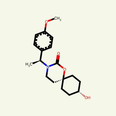 COc1ccc([C@H](C)N2CC[C@]3(CC[C@@H](O)CC3)OC2=O)cc1